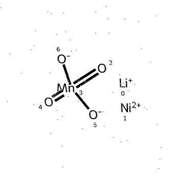 [Li+].[Ni+2].[O]=[Mn](=[O])([O-])[O-]